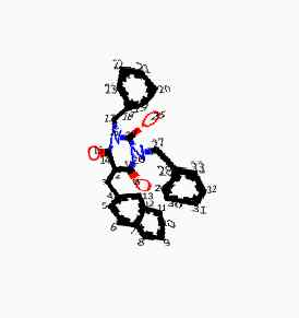 O=C1C(Cc2ccc3ccccc3c2)C(=O)N(Cc2ccccc2)C(=O)N1Cc1ccccc1